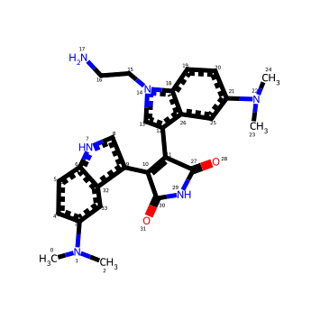 CN(C)c1ccc2[nH]cc(C3=C(c4cn(CCN)c5ccc(N(C)C)cc45)C(=O)NC3=O)c2c1